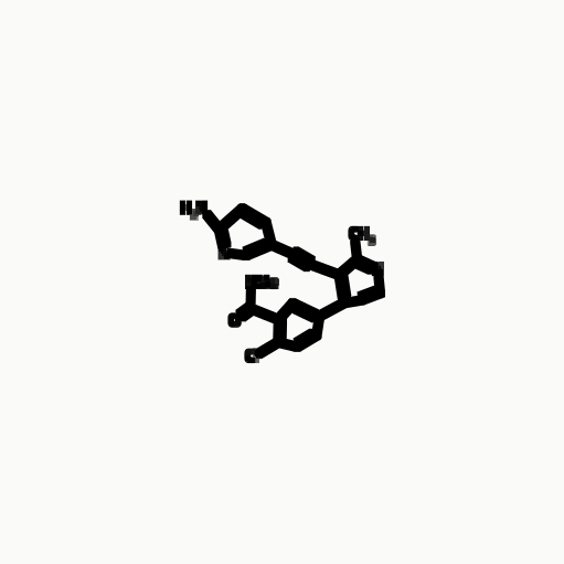 CNC(=O)c1cc(-c2ccnc(C)c2C#Cc2ccc(N)nc2)ccc1Cl